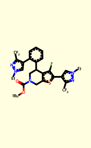 CCn1cc(-c2ccccc2C2CN(C(=O)OC(C)(C)C)Cc3sc(-c4cn(CC)nc4C(F)(F)F)c(F)c32)c(C(F)(F)F)n1